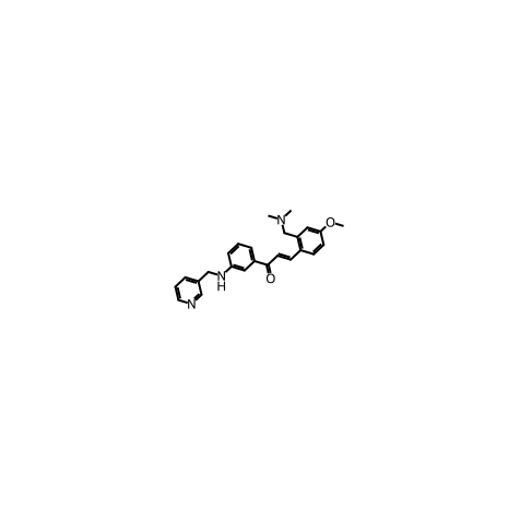 COc1ccc(/C=C/C(=O)c2cccc(NCc3cccnc3)c2)c(CN(C)C)c1